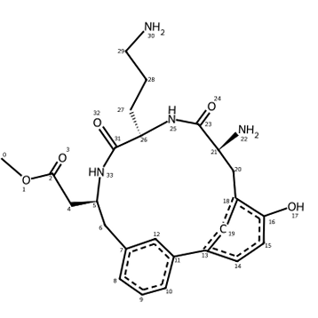 COC(=O)C[C@@H]1Cc2cccc(c2)-c2ccc(O)c(c2)C[C@H](N)C(=O)N[C@@H](CCCN)C(=O)N1